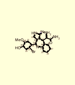 C=C(C(N)=O)c1c2/c(=N\N)[nH]cc-2c(-c2cc(OC)c(O)cc2Br)nc2ccccc12